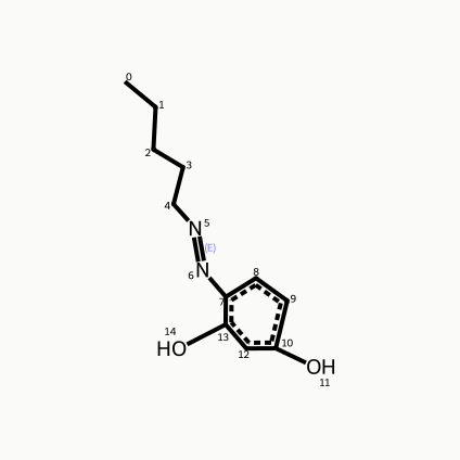 CCCCC/N=N/c1ccc(O)cc1O